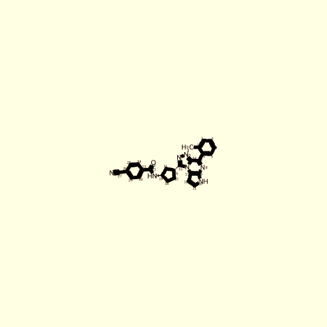 Cc1ccccc1-c1nc2[nH]ccc2n2c([C@@H]3CC[C@H](NC(=O)c4ccc(C#N)cc4)C3)nnc12